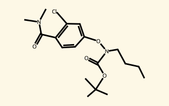 CCCCN(Oc1ccc(C(=O)N(C)C)c(Cl)c1)C(=O)OC(C)(C)C